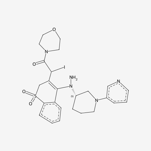 NN(C1=C(C(I)C(=O)N2CCOCC2)CS(=O)(=O)c2ccccc21)[C@H]1CCCN(c2cccnc2)C1